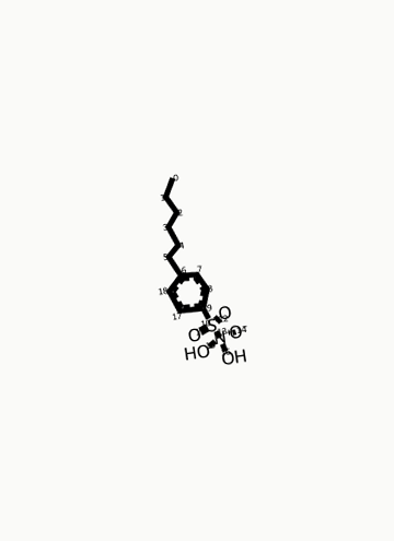 CCCCCCc1ccc(S(=O)(=O)[N+]([O-])(O)O)cc1